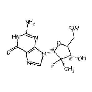 CC1(F)[C@@H](O)C(CO)O[C@H]1n1cnc2c(=O)[nH]c(N)nc21